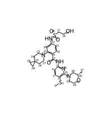 CSc1ccc(NC(=O)c2ccc(NS(=O)(=O)CCO)cc2N2CCC3(CC2)CC3)nc1N1CCO[C@H](C)C1